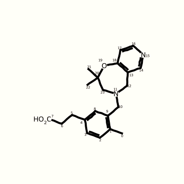 Cc1ccc(CCC(=O)O)cc1CN1Cc2cnccc2OC(C)(C)C1